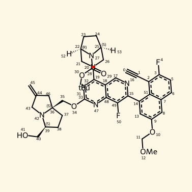 C#Cc1c(F)ccc2cc(OCOC)cc(-c3ncc4c(N5C[C@H]6CC[C@@H](C5)N6C(=O)OC(C)(C)C)nc(OC[C@@]56CC[C@@H](CO)N5CC(=C)C6)nc4c3F)c12